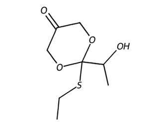 CCSC1(C(C)O)OCC(=O)CO1